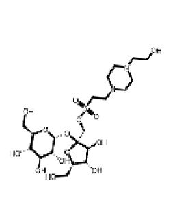 O=S(=O)(CCN1CCN(CCO)CC1)OC[C@@]1(O[C@H]2O[C@H](CO)[C@@H](O)[C@H](O)[C@H]2O)O[C@H](CO)[C@@H](O)[C@@H]1O